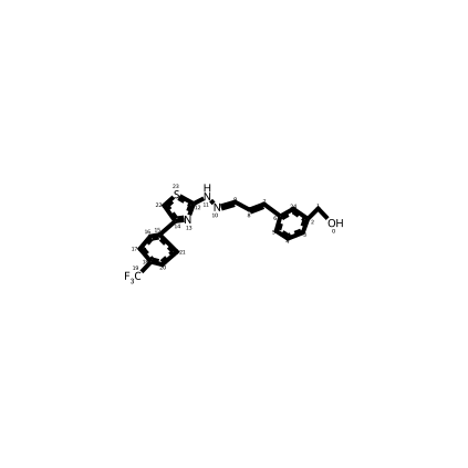 OCc1cccc(/C=C/C=N/Nc2nc(-c3ccc(C(F)(F)F)cc3)cs2)c1